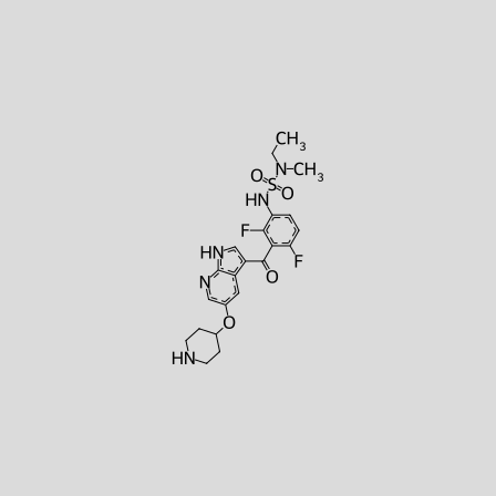 CCN(C)S(=O)(=O)Nc1ccc(F)c(C(=O)c2c[nH]c3ncc(OC4CCNCC4)cc23)c1F